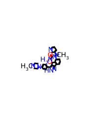 CN1CCN(c2ccc(-c3[nH]nc4c3C(=O)c3c-4cccc3N(C(N)=O)N(C)c3cccnc3)cc2)CC1